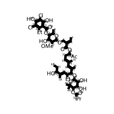 C/C=C(\COC1OC(C)C(OC(=O)c2c(O)c(Cl)c(O)c(Cl)c2CC)C(O)C1OC)C(=O)OC(C/C=C(C)/C=C(\C)C(OC1OC(C)(C)C(OC(=O)C(C)C)C(O)C1O)C(/C=C(\C)C(O)CI)CC)C(C)=O